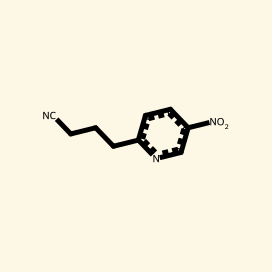 N#CCCCc1ccc([N+](=O)[O-])cn1